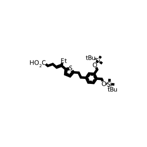 CCC(=CCCC(=O)O)c1ccc(CCc2ccc(CO[Si](C)(C)C(C)(C)C)c(CO[Si](C)(C)C(C)(C)C)c2)s1